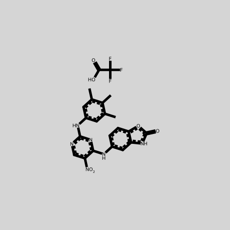 Cc1cc(Nc2ncc([N+](=O)[O-])c(Nc3ccc4oc(=O)[nH]c4c3)n2)cc(C)c1C.O=C(O)C(F)(F)F